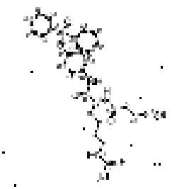 CCC(=O)NCCCCC(NC(=O)CCNC)C(=O)Nc1ccc(OP(=O)(c2ccccc2)c2ccccc2)cc1